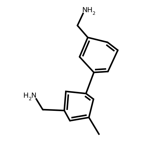 Cc1cc(CN)cc(-c2cccc(CN)c2)c1